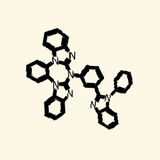 c1ccc(-n2c(-c3cccc(-n4c5nc6ccccc6n5c5ccccc5n5c6ccccc6nc45)c3)nc3ccccc32)cc1